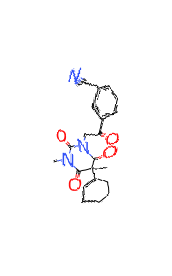 CN1C(=O)N(CC(=O)c2cccc(C#N)c2)C(=O)C(C)(C2=CCCCC2)C1=O